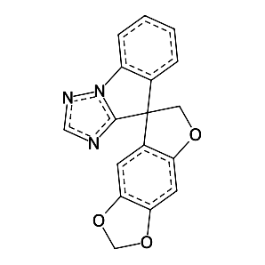 c1ccc2c(c1)-n1ncnc1C21COc2cc3c(cc21)OCO3